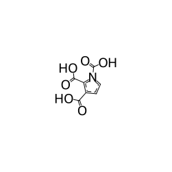 O=C(O)c1ccn(C(=O)O)c1C(=O)O